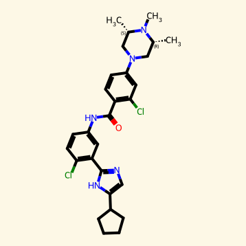 C[C@@H]1CN(c2ccc(C(=O)Nc3ccc(Cl)c(-c4ncc(C5CCCC5)[nH]4)c3)c(Cl)c2)C[C@H](C)N1C